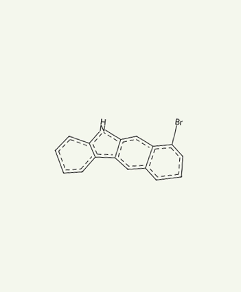 Brc1cccc2cc3c(cc12)[nH]c1ccccc13